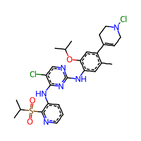 Cc1cc(Nc2ncc(Cl)c(Nc3cccnc3S(=O)(=O)C(C)C)n2)c(OC(C)C)cc1C1=CCN(Cl)CC1